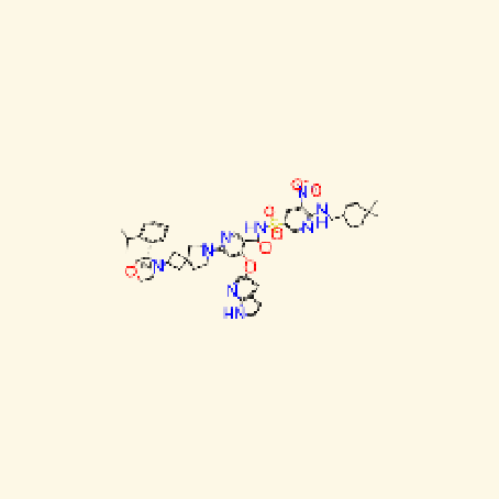 CC(C)c1ccccc1[C@H]1COCCN1C1CC2(CCN(c3cc(Oc4cnc5[nH]ccc5c4)c(C(=O)NS(=O)(=O)c4cnc(NCC5CCC(C)(C)CC5)c([N+](=O)[O-])c4)cn3)CC2)C1